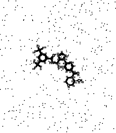 C[C@H](NC(=O)c1cc(C(F)(F)F)cc(C(F)(F)F)c1)c1ncnn1-c1ccc(C(=O)N2CCOC[C@H]2C)cn1